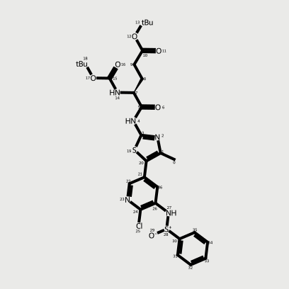 Cc1nc(NC(=O)[C@H](CCC(=O)OC(C)(C)C)NC(=O)OC(C)(C)C)sc1-c1cnc(Cl)c(N[S+]([O-])c2ccccc2)c1